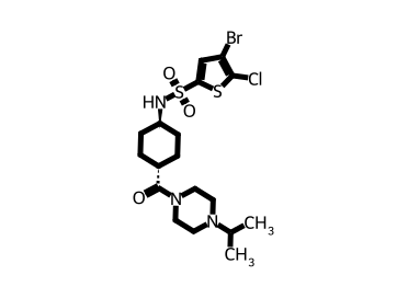 CC(C)N1CCN(C(=O)[C@H]2CC[C@H](NS(=O)(=O)c3cc(Br)c(Cl)s3)CC2)CC1